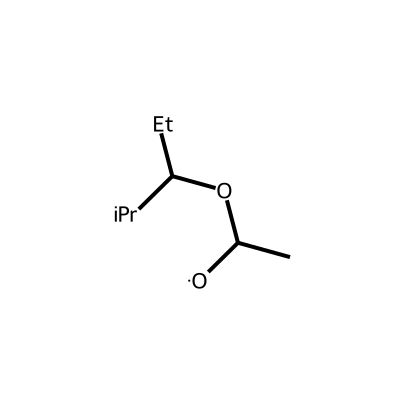 CCC(OC(C)[O])C(C)C